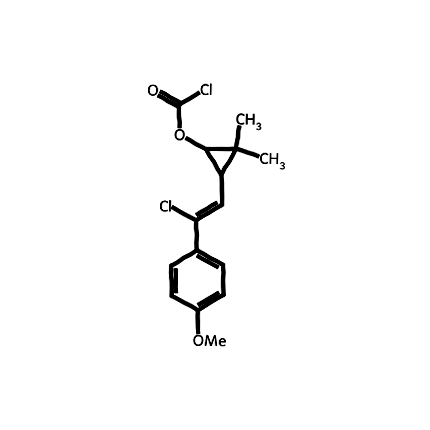 COc1ccc(C(Cl)=CC2C(OC(=O)Cl)C2(C)C)cc1